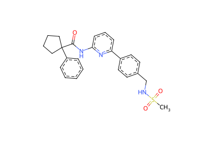 CS(=O)(=O)NCc1ccc(-c2cccc(NC(=O)C3(c4ccccc4)CCCC3)n2)cc1